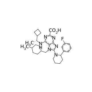 CC1CCC(Cn2c(N3CCCCC3c3cccc(F)c3)nc3nc(C(=O)O)nc(N[C@H](C)C4CCC4)c32)CC1